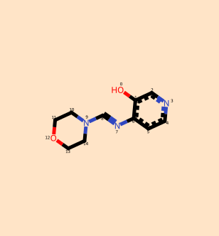 Oc1cnccc1N=CN1CCOCC1